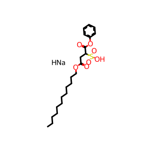 CCCCCCCCCCCCOC(=O)CC(C(=O)Oc1ccccc1)S(=O)(=O)O.[NaH]